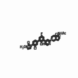 CC(=O)NC12CCC3CN(c4cc(-c5cc(F)cc(-c6ccc(-n7ccn(C)c7=O)c(Cl)c6)c5O)ccn4)CC1C32C